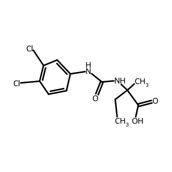 CCC(C)(NC(=O)Nc1ccc(Cl)c(Cl)c1)C(=O)O